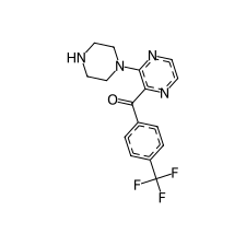 O=C(c1ccc(C(F)(F)F)cc1)c1nccnc1N1CCNCC1